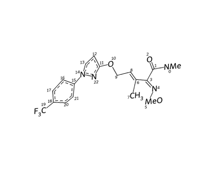 CNC(=O)C(=N/OC)/C(C)=C/COc1ccn(-c2ccc(C(F)(F)F)cc2)n1